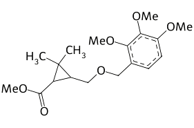 COC(=O)C1C(COCc2ccc(OC)c(OC)c2OC)C1(C)C